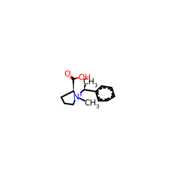 C[C@@H](c1ccccc1)[N+]1(C)CCC[C@H]1C(=O)O